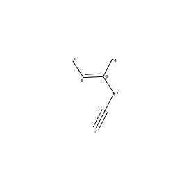 C#C[CH]C(C)=CC